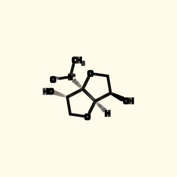 C[S+]([O-])[C@]12OC[C@@H](O)[C@H]1OC[C@@H]2O